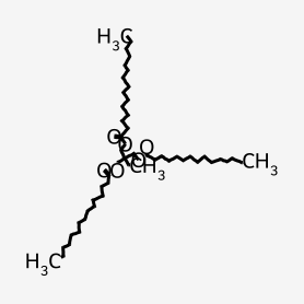 CCCCCCCCCCCCCCC(=O)OCC(CC)(COC(=O)CCCCCCCCCCCCCC)COC(=O)CCCCCCCCCCCCCC